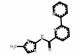 Cc1csc(NC(=O)c2cccc(-c3ccccn3)n2)n1